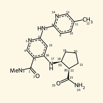 CNC(=O)c1cnc(Nc2ccc(C)cn2)cc1N[C@H]1CCC[C@H]1C(N)=O